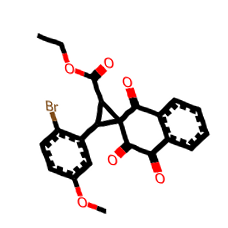 CCOC(=O)C1C(c2cc(OC)ccc2Br)C12C(=O)C(=O)c1ccccc1C2=O